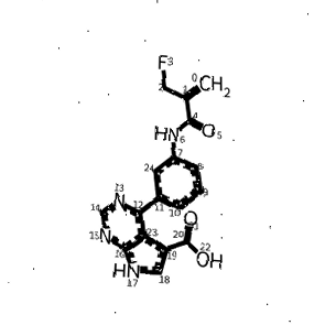 C=C(CF)C(=O)Nc1cccc(-c2ncnc3[nH]cc(C(=O)O)c23)c1